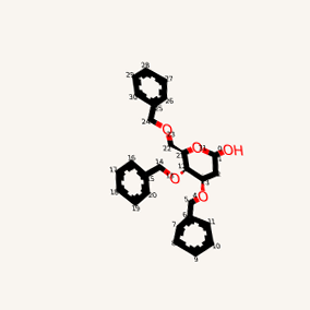 OC1C[C@@H](OCc2ccccc2)[C@H](OCc2ccccc2)[C@@H](COCc2ccccc2)O1